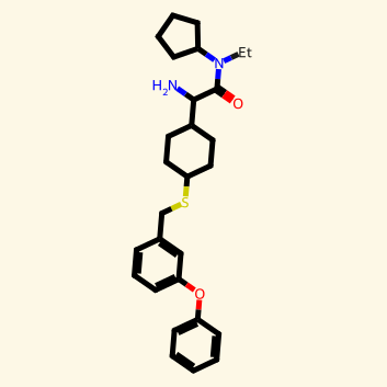 CCN(C(=O)C(N)C1CCC(SCc2cccc(Oc3ccccc3)c2)CC1)C1CCCC1